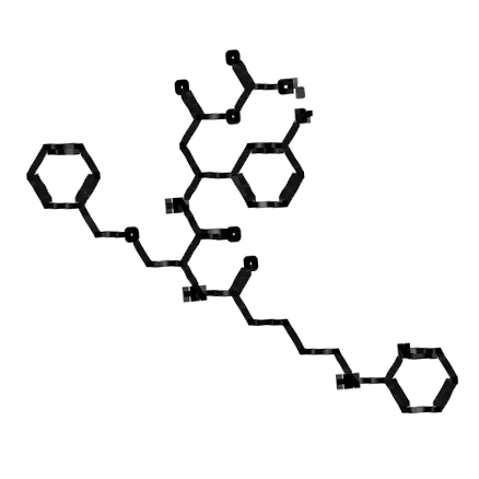 O=C(CCCCNc1ccccn1)NC(COCc1ccccc1)C(=O)NC(CC(=O)OC(=O)C(F)(F)F)c1cccc(Br)c1